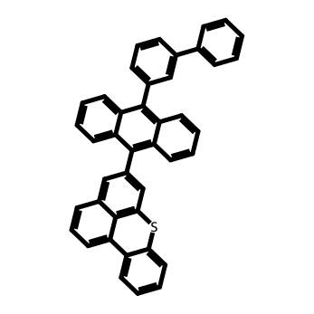 c1ccc(-c2cccc(-c3c4ccccc4c(-c4cc5c6c(cccc6c4)-c4ccccc4S5)c4ccccc34)c2)cc1